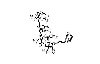 COC(C)(C)CCOC(C)(N)CCOC(C)(C)C(=O)OCC(C)(COC(C)C)C(=O)NCCCn1ccnc1